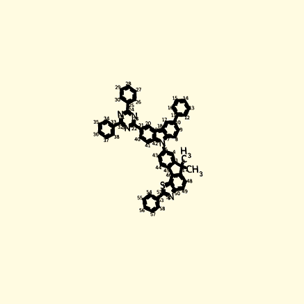 CC1(C)c2cc(-n3c4ccc(-c5ccccc5)cc4c4cc(-c5nc(-c6ccccc6)nc(-c6ccccc6)n5)ccc43)ccc2-c2c1ccc1nc(-c3ccccc3)sc21